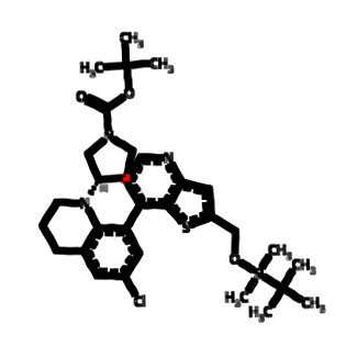 CC(C)(C)OC(=O)N1CC[C@H](N2CCCc3cc(Cl)cc(-c4ccnc5cc(CO[Si](C)(C)C(C)(C)C)sc45)c32)C1